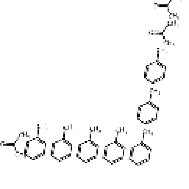 CC(C)=O.CC(C)=O.CC(C)=O.Cc1ccccc1.Cc1ccccc1.Cc1ccccc1.Cc1ccccc1.Cc1ccccc1.Cc1ccccc1.Cc1ccccc1